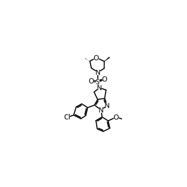 COc1ccccc1-n1nc2c(c1-c1ccc(Cl)cc1)CN(S(=O)(=O)N1C[C@H](C)O[C@@H](C)C1)C2